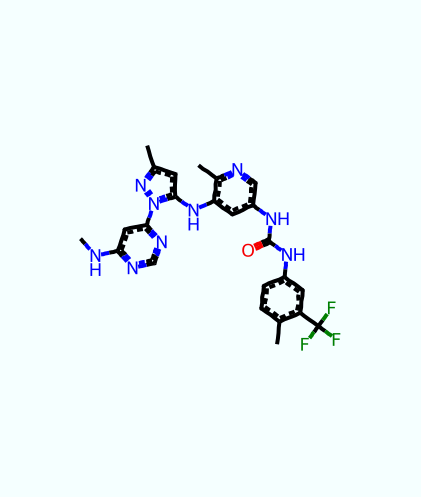 CNc1cc(-n2nc(C)cc2Nc2cc(NC(=O)Nc3ccc(C)c(C(F)(F)F)c3)cnc2C)ncn1